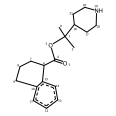 CC(C)(OC(=O)C1CCCc2ccccc21)C1CCNCC1